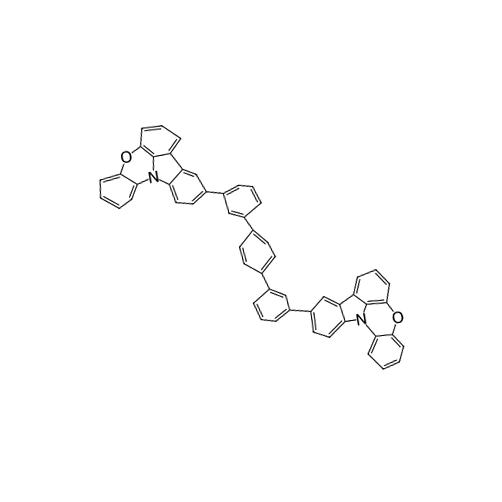 c1cc(-c2ccc(-c3cccc(-c4ccc5c(c4)c4cccc6c4n5-c4ccccc4O6)c3)cc2)cc(-c2ccc3c(c2)c2cccc4c2n3-c2ccccc2O4)c1